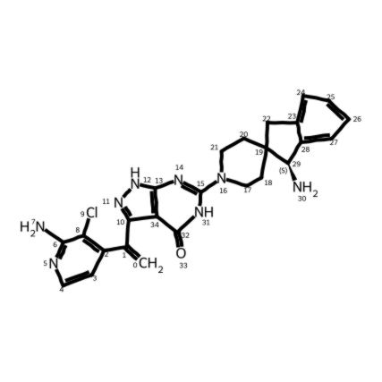 C=C(c1ccnc(N)c1Cl)c1n[nH]c2nc(N3CCC4(CC3)Cc3ccccc3[C@H]4N)[nH]c(=O)c12